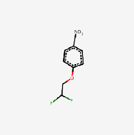 O=[N+]([O-])c1ccc(OCC(F)F)cc1